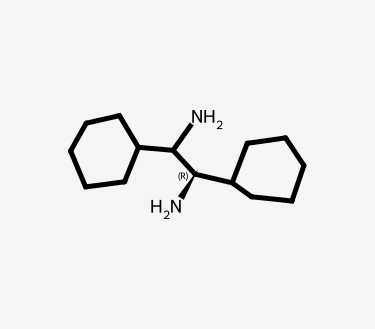 NC(C1CCCCC1)[C@H](N)C1CCCCC1